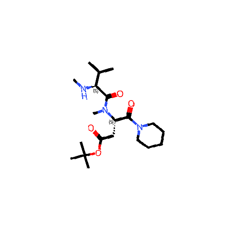 CN[C@H](C(=O)N(C)[C@@H](CC(=O)OC(C)(C)C)C(=O)N1CCCCC1)C(C)C